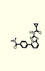 CN(C)C(=O)c1ccc(-c2cccc3nc(NC(=O)C4CC4)nn23)cc1